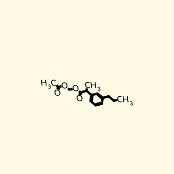 CCCc1cccc(C(C)C(=O)OCOC(C)=O)c1